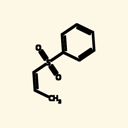 C/C=C\S(=O)(=O)c1ccccc1